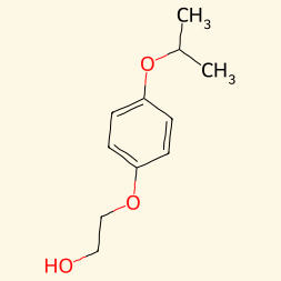 CC(C)Oc1ccc(OCCO)cc1